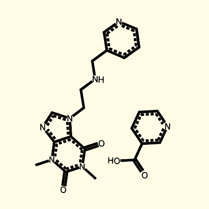 Cn1c(=O)c2c(ncn2CCNCc2cccnc2)n(C)c1=O.O=C(O)c1cccnc1